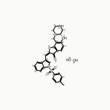 Cc1ccc(S(=O)(=O)n2cc(C=C3Oc4c(ccc(O)c4CN4CCNCC4)C3=O)c3ccccc32)cc1.Cl.Cl